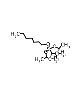 CCCCCCCO[Si](OC(C)C)(OC(C)C)C(C)C